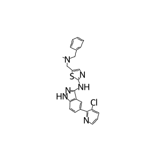 CN(Cc1ccccc1)Cc1cnc(Nc2n[nH]c3ccc(-c4ncccc4Cl)cc23)s1